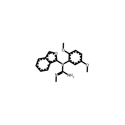 CN=C(N)N(c1cc(OC)ccc1OC)c1occ2ccccc12